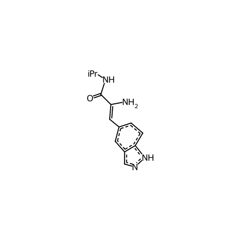 CC(C)NC(=O)/C(N)=C/c1ccc2[nH]ncc2c1